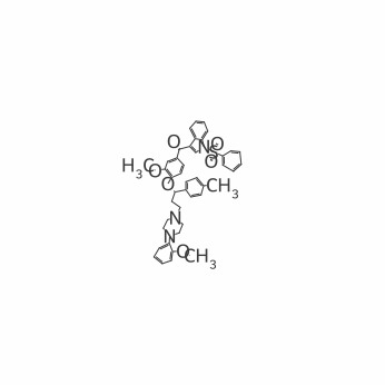 COc1cc(C(=O)c2cn(S(=O)(=O)c3ccccc3)c3ccccc23)ccc1OC(CCN1CCN(c2ccccc2OC)CC1)c1ccc(C)cc1